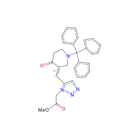 COC(=O)Cn1nncc1/C=C1\CN(C(c2ccccc2)(c2ccccc2)c2ccccc2)CCC1=O